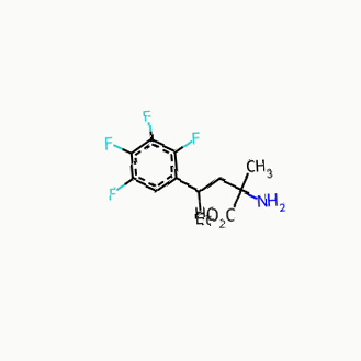 CCC(CC(C)(N)C(=O)O)c1cc(F)c(F)c(F)c1F